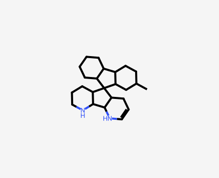 CC1CCC2C3CCCCC3C3(C2C1)C1CC=CNC1C1NCCCC13